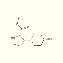 COC(=O)[C@H]1NCC[C@H]1C1CCC(=O)CC1